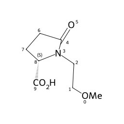 COCCN1C(=O)CC[C@H]1C(=O)O